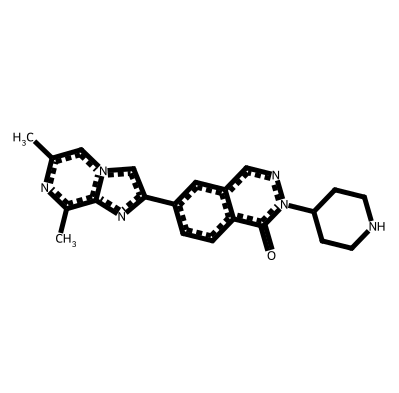 Cc1cn2cc(-c3ccc4c(=O)n(C5CCNCC5)ncc4c3)nc2c(C)n1